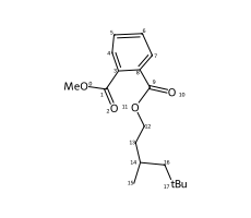 COC(=O)c1ccccc1C(=O)OCCC(C)CC(C)(C)C